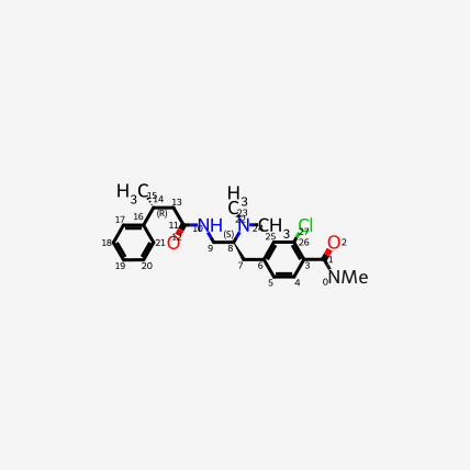 CNC(=O)c1ccc(C[C@@H](CNC(=O)C[C@@H](C)c2ccccc2)N(C)C)cc1Cl